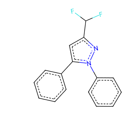 FC(F)c1cc(-c2ccccc2)n(-c2ccccc2)n1